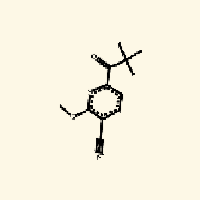 CSc1nc(C(=O)C(C)(C)C)ccc1C#N